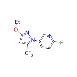 CCOc1cc(C(F)(F)F)n(-c2ccc(F)nc2)n1